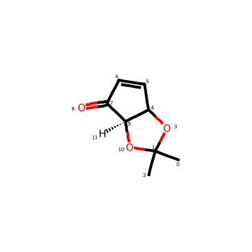 CC1(C)OC2C=CC(=O)[C@@H]2O1